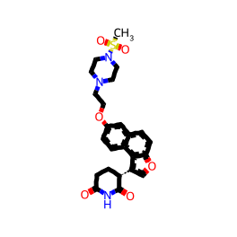 CS(=O)(=O)N1CCN(CCOc2ccc3c(ccc4occ([C@H]5CCC(=O)NC5=O)c43)c2)CC1